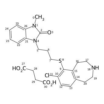 Cn1c(=O)n(CCCSc2c(Cl)ccc3c2CCNCC3)c2ccccc21.O=C(O)CCC(=O)O